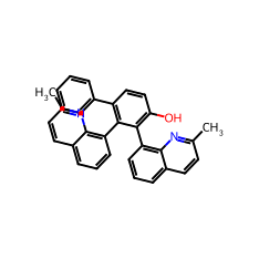 Cc1ccc2cccc(-c3c(O)ccc(-c4ccccc4)c3-c3cccc4ccc(C)nc34)c2n1